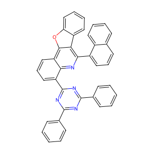 c1ccc(-c2nc(-c3ccccc3)nc(-c3cccc4c3nc(-c3cccc5ccccc35)c3c5ccccc5oc43)n2)cc1